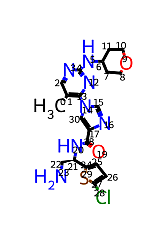 Cc1cnc(NC2CCOCC2)nc1-n1cnc(C(=O)N[C@H](CN)c2ccc(Cl)s2)c1